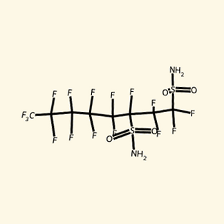 NS(=O)(=O)C(F)(F)C(F)(F)C(F)(C(F)(F)C(F)(F)C(F)(F)C(F)(F)C(F)(F)F)S(N)(=O)=O